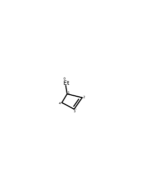 CCC1C=[C]C1